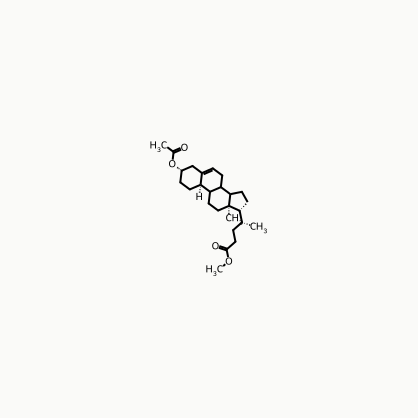 COC(=O)CC[C@@H](C)[C@H]1CCC2C3CC=C4C[C@@H](OC(C)=O)CC[C@@H]4C3CC[C@@]21C